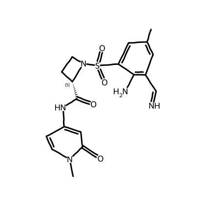 Cc1cc(C=N)c(N)c(S(=O)(=O)N2CC[C@H]2C(=O)Nc2ccn(C)c(=O)c2)c1